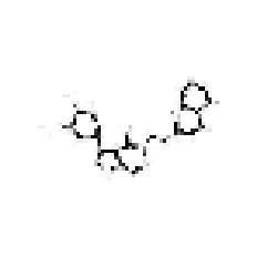 Cc1ccc(-c2csc3cnn(CCc4ccc5ccccc5n4)c(=O)c23)cc1C